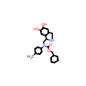 Cc1ccc(N(CC2NCCc3cc(O)c(O)cc32)C(=O)OCc2ccccc2)cc1